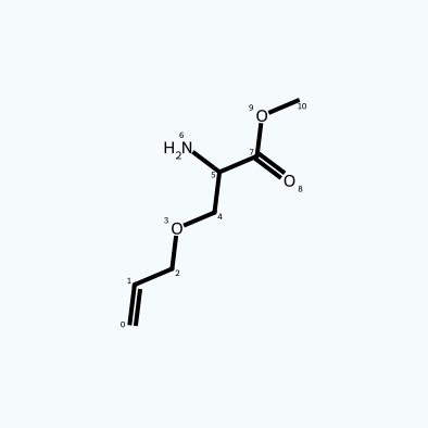 C=CCOCC(N)C(=O)OC